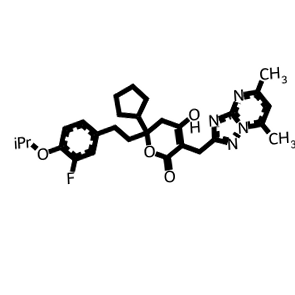 Cc1cc(C)n2nc(CC3=C(O)CC(CCc4ccc(OC(C)C)c(F)c4)(C4CCCC4)OC3=O)nc2n1